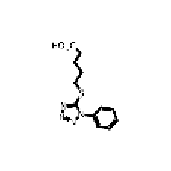 O=C(O)CCCCSc1nnnn1-c1ccccc1